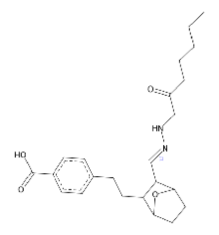 CCCCCC(=O)CN/N=C/C1C2CCC(O2)C1CCc1ccc(C(=O)O)cc1